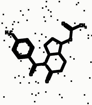 CC(=O)OC1CCC2C1CCC(=O)N2C(=O)c1ccc(C)cc1